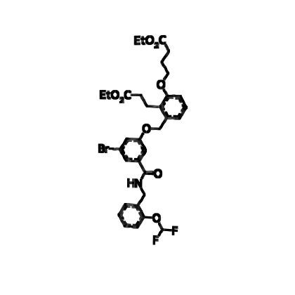 CCOC(=O)CCCOc1cccc(COc2cc(Br)cc(C(=O)NCc3ccccc3OC(F)F)c2)c1CCC(=O)OCC